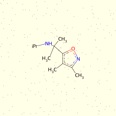 Cc1noc(C(C)(C)NC(C)C)c1C